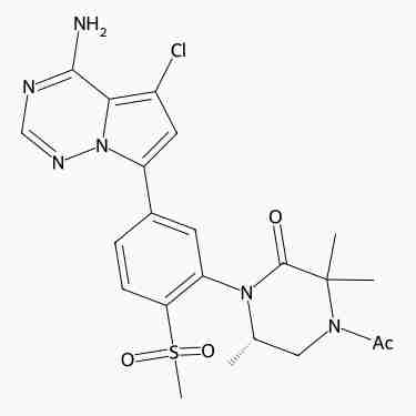 CC(=O)N1C[C@H](C)N(c2cc(-c3cc(Cl)c4c(N)ncnn34)ccc2S(C)(=O)=O)C(=O)C1(C)C